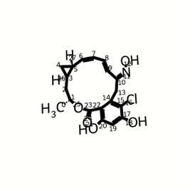 C[C@@H]1C[C@H]2C[C@@H]2\C=C/C=C/C(=N\O)Cc2c(Cl)c(O)cc(O)c2C(=O)O1